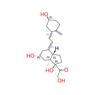 C=C1CC[C@H](O)C/C1=C/C=C1\C[C@@H](O)C[C@@]2(C)[C@H]1CC[C@]2(O)C(=O)CO